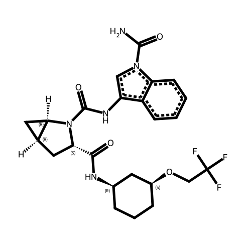 NC(=O)n1cc(NC(=O)N2[C@@H]3C[C@@H]3C[C@H]2C(=O)N[C@@H]2CCC[C@H](OCC(F)(F)F)C2)c2ccccc21